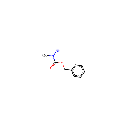 CC(C)(C)N(N)C(=O)OCc1ccccc1